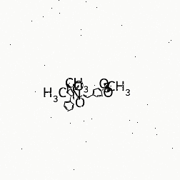 C[C@@H]1[C@H](c2ccccc2)N(C(=O)C=Cc2ccc(S(C)(=O)=O)cc2)C(=O)N1C